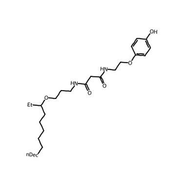 CCCCCCCCCCCCCCCC(CC)OCCCNC(=O)CC(=O)NCCOc1ccc(O)cc1